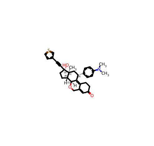 CN(C)c1ccc([C@H]2C[C@@]3(C)[C@@H](CC[C@@]3(O)C#Cc3ccsc3)[C@@H]3OCC4=CC(=O)CCC4=C32)cc1